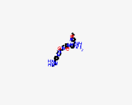 CN/C=N\C(=N)c1ccc(N2CCN(C(=O)CN3CC[C@]4(CCN(c5ccc(N)c(C(=N)c6ccc(OC(C)C)nc6)n5)C4=O)C3)[C@@H](C)C2)cc1